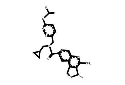 C[C@@H]1OCc2c1c(N)nc1cnc(C(=O)N(Cc3ccc(OC(F)F)nn3)CC3CC3)cc21